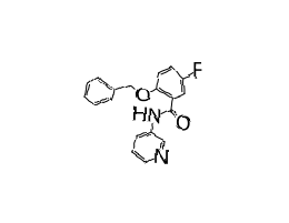 O=C(Nc1cccnc1)c1cc(F)ccc1OCc1ccccc1